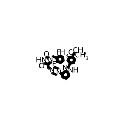 CC(C)(C)c1ccc(-c2nc3c(N4CCN(Cc5cn(Cc6c(F)cccc6F)c(=O)[nH]c5=O)CC4)cccc3[nH]2)cc1